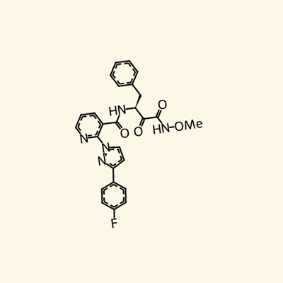 CONC(=O)C(=O)[C@H](Cc1ccccc1)NC(=O)c1cccnc1-n1ccc(-c2ccc(F)cc2)n1